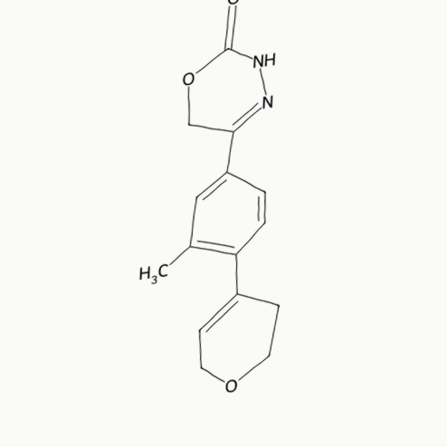 Cc1cc(C2=NNC(=O)OC2)ccc1C1=CCOCC1